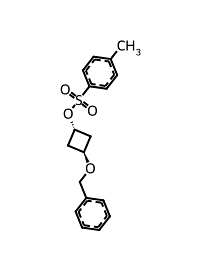 Cc1ccc(S(=O)(=O)O[C@H]2C[C@H](OCc3ccccc3)C2)cc1